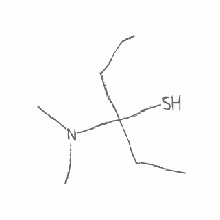 CCC(S)(CC)N(C)C